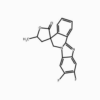 CC1CC2(Cn3c(nc4cc(F)c(F)cc43)-c3ccccc32)C(=O)O1